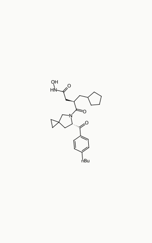 CCCCc1ccc(C(=O)[C@@H]2CC3(CC3)CN2C(=O)[C@@H](CC(=O)NO)CC2CCCC2)cc1